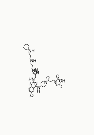 COc1ccc2nc(NCc3cn(CCCNCCCNC4CCCCC4)nn3)nc(NC3CCN(C(=O)CC[C@H](N)C(=O)O)CC3)c2c1